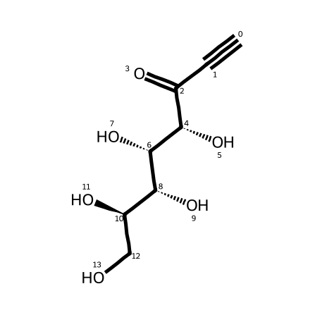 C#CC(=O)[C@H](O)[C@@H](O)[C@H](O)[C@H](O)CO